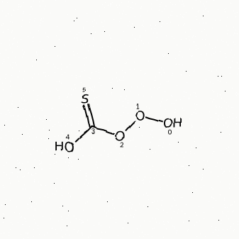 OOOC(O)=S